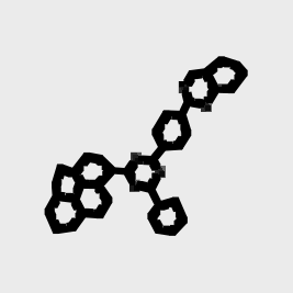 c1ccc(-c2nc(-c3ccc(-c4ncc5ccccc5n4)cc3)nc(-c3ccc4ccc5cccc6ccc3c4c56)n2)cc1